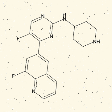 Fc1cnc(NC2CCNCC2)nc1-c1cc(F)c2ncccc2c1